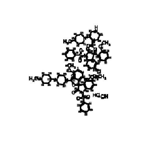 COc1ccc(OC)c(C2(OC(=O)N3CCN(C4CCN(C)CC4)CC3)C(=O)N(S(=O)(=O)c3ccccc3)c3ccc(OC)cc32)c1.COc1ccccc1C1(OC(=O)N2CCNCC2N2CCC(C)CC2)C(=O)N(S(=O)(=O)c2ccccc2)c2ccc(Cl)cc21.Cl.Cl